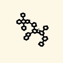 c1ccc(-c2cccc(-c3cc(-c4ccccc4)c4sc5c(-c6cccc(-c7ccc8c(-c9ccccc9)c9ccccc9c(-c9ccccc9)c8c7)c6)cc(-c6ccc7ccccc7c6)cc5c4c3)c2)cc1